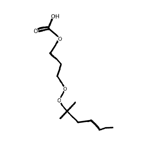 CCCCC(C)(C)OOCCCOC(=O)O